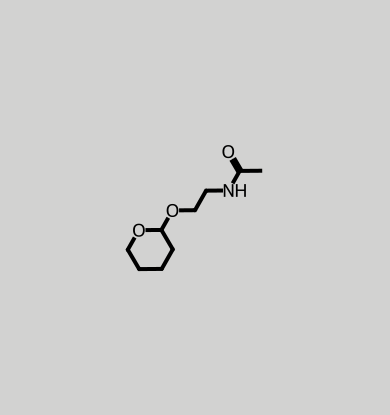 CC(=O)NCCOC1CCCCO1